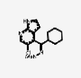 CN/N=C(\c1c(Cl)cnc2[nH]ccc12)C1CCCCC1